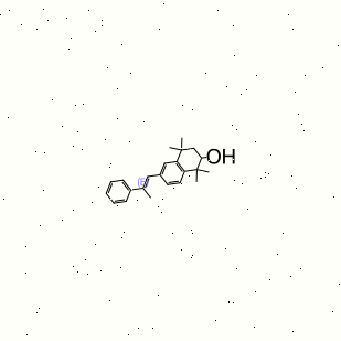 C/C(=C\c1ccc2c(c1)C(C)(C)CC(O)C2(C)C)c1ccccc1